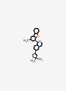 Cc1cc(-c2nccc3cc(C4=CC(C)(C)CC4)ccc23)c2oc3ccccc3c2c1